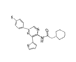 O=C(CC1CCCCC1)Nc1ncc(-c2ccc(F)cc2)nc1-c1cccs1